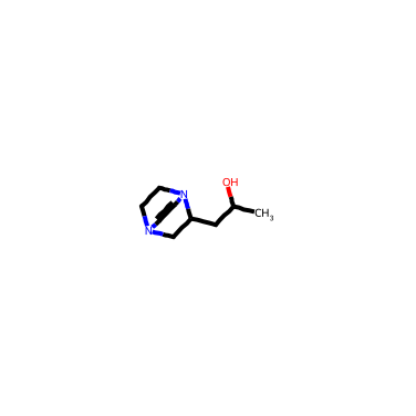 CC(O)CC1CN2C=CN1CC2